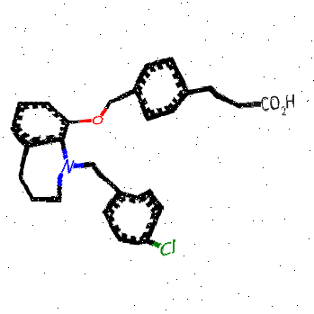 O=C(O)CCc1ccc(COc2cccc3c2N(Cc2ccc(Cl)cc2)CCC3)cc1